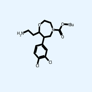 CC(C)(C)OC(=O)N1CCOC(CCN)C(c2ccc(Cl)c(Cl)c2)C1